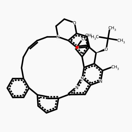 Cc1nc2cc3nn2c(c1[C@H](OC(C)(C)C)C(=O)O)-c1ccc2c(c1Cl)N(CC=CCCc1ccccc1-c1cccc-3c1)CCO2